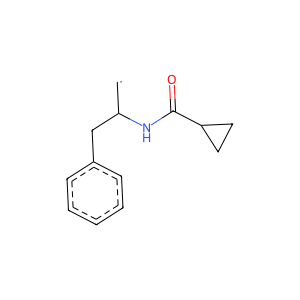 [CH2]C(Cc1ccccc1)NC(=O)C1CC1